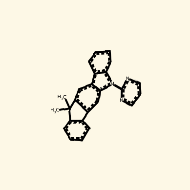 CC1(C)c2ccccc2-c2cc3c(cc21)c1ccccc1n3-c1ncccn1